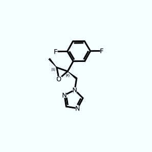 C[C@@H]1O[C@@]1(Cn1cncn1)c1cc(F)ccc1F